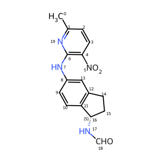 Cc1ccc([N+](=O)[O-])c(Nc2ccc3c(c2)CC[C@@H]3NC=O)n1